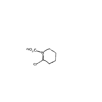 O=C(O)N1CCCCC1Cl